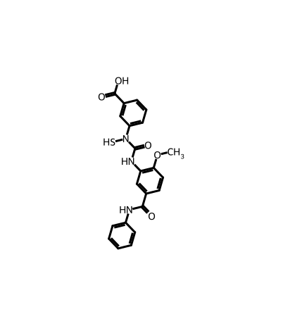 COc1ccc(C(=O)Nc2ccccc2)cc1NC(=O)N(S)c1cccc(C(=O)O)c1